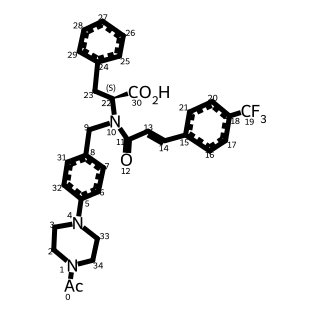 CC(=O)N1CCN(c2ccc(CN(C(=O)C=Cc3ccc(C(F)(F)F)cc3)[C@@H](Cc3ccccc3)C(=O)O)cc2)CC1